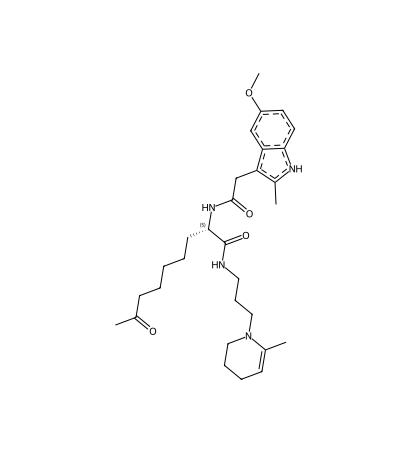 COc1ccc2[nH]c(C)c(CC(=O)N[C@@H](CCCCCC(C)=O)C(=O)NCCCN3CCCC=C3C)c2c1